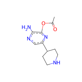 CC(=O)Oc1nc(C2CCNCC2)cnc1N